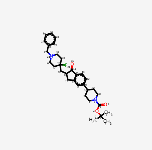 CC(C)(C)OC(=O)N1CCC(c2ccc3c(c2)CC(CC2(F)CCN(Cc4ccccc4)CC2)C3=O)CC1